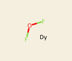 FOF.[Dy]